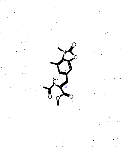 COC(=O)/C(=C/c1cc(C)c2c(c1)oc(=O)n2C)NC(C)=O